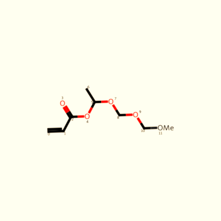 C=CC(=O)OC(C)OCOCOC